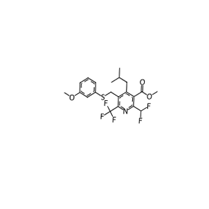 COC(=O)c1c(C(F)F)nc(C(F)(F)F)c(CSc2cccc(OC)c2)c1CC(C)C